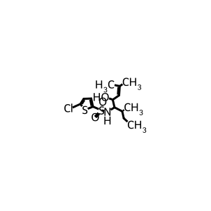 CC[C@H](C)C(NS(=O)(=O)c1ccc(Cl)s1)C(O)C=C(C)C